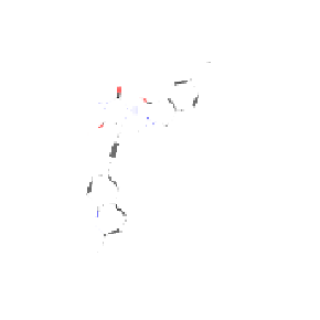 COc1ccc2c(c1)C(=O)N(C[C@@]1(C#Cc3ccc4nc(C)ccc4c3)NC(=O)NC1=O)C2